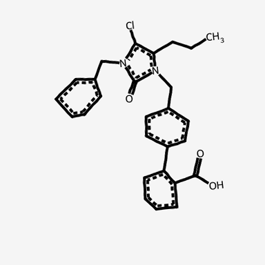 CCCc1c(Cl)n(Cc2ccccc2)c(=O)n1Cc1ccc(-c2ccccc2C(=O)O)cc1